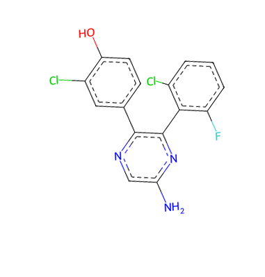 Nc1cnc(-c2ccc(O)c(Cl)c2)c(-c2c(F)cccc2Cl)n1